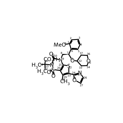 COc1ccccc1[C@H](CN1C(=O)N(C(C)(C)C(=O)O)S(=O)(=O)c2c1sc(-c1ncco1)c2C)OC1CCOCC1